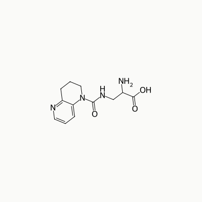 NC(CNC(=O)N1CCCc2ncccc21)C(=O)O